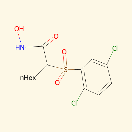 CCCCCCC(C(=O)NO)S(=O)(=O)c1cc(Cl)ccc1Cl